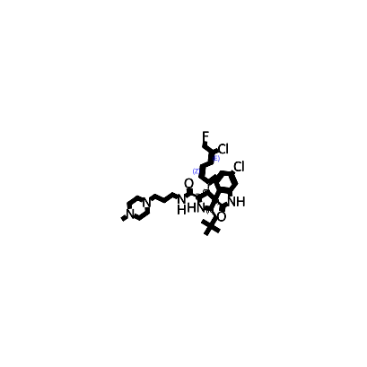 C=C(/C=C\C=C(\Cl)CF)[C@H]1[C@H](C(=O)NCCCN2CCN(C)CC2)N[C@H](CC(C)(C)C)[C@]12C(=O)Nc1cc(Cl)ccc12